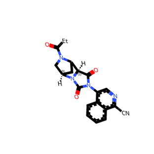 CCC(=O)N1C[C@H]2CC1[C@H]1C(=O)N(c3cnc(C#N)c4ccccc34)C(=O)N21